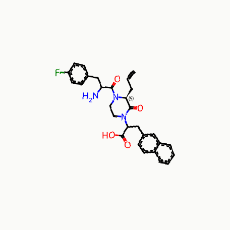 C=CC[C@H]1C(=O)N(C(Cc2ccc3ccccc3c2)C(=O)O)CCN1C(=O)C(N)Cc1ccc(F)cc1